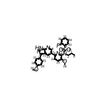 CCCN(c1nc(-c2cnc3[nH]nc(-c4ccc(OC)cc4)c3c2)ccc1OC)S(=O)(=O)c1ccccc1F